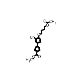 CCOC(=O)c1ccc(-c2ccc(OCCCCOC(C)=O)c(Br)c2)cc1